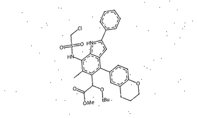 COC(=O)C(OC(C)(C)C)c1c(C)c(NS(=O)(=O)CCl)c2[nH]c(-c3ccccc3)cc2c1-c1ccc2c(c1)CCCO2